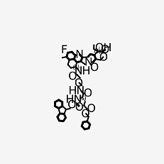 CC[C@@]1(O)C(=O)OCc2c1cc1n(c2=O)Cc2c-1nc1cc(F)c(C)c3c1c2[C@@H](NC(=O)COCNC(=O)[C@H](CCC(=O)OCc1ccccc1)NC(=O)OCC1c2ccccc2-c2ccccc21)CC3